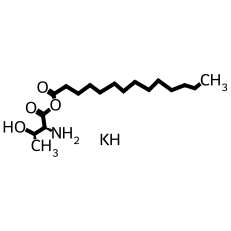 CCCCCCCCCCCCCC(=O)OC(=O)[C@@H](N)[C@@H](C)O.[KH]